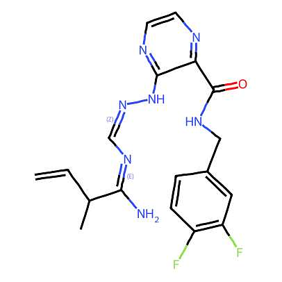 C=CC(C)/C(N)=N\C=N/Nc1nccnc1C(=O)NCc1ccc(F)c(F)c1